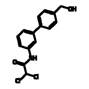 O=C(Nc1cccc(-c2ccc(CO)cc2)c1)C(Cl)Cl